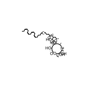 CC/C=C\C/C=C\C/C=C\C/C=C\CCCC=C=CCCC(=O)N(C)[C@H]1C[C@@H](C)O[C@@H](O[C@@H]2[C@@H](C)[C@H](O)[C@@H](C)C(=O)O[C@H](CC)[C@@](C)(O)[C@H](O)C(C)N(C)C[C@H](C)C[C@@]2(C)O)[C@@H]1O